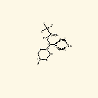 CN1CCN(C(NC(=O)C(C)(C)C)c2ccncc2)CC1